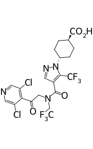 O=C(CN(CC(F)(F)F)C(=O)c1cnn([C@H]2CC[C@H](C(=O)O)CC2)c1C(F)(F)F)c1c(Cl)cncc1Cl